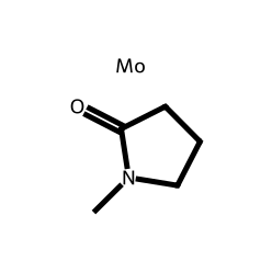 CN1CCCC1=O.[Mo]